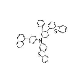 c1ccc(-c2cc(N(c3ccc(-c4cccc5ccccc45)cc3)c3ccc4c(c3)sc3ccccc34)ccc2-c2cccc3c2sc2ccccc23)cc1